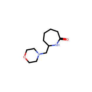 O=C1CCCCC(CN2CCOCC2)N1